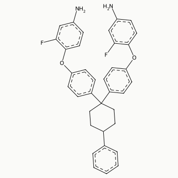 Nc1ccc(Oc2ccc(C3(c4ccc(Oc5ccc(N)cc5F)cc4)CCC(c4ccccc4)CC3)cc2)c(F)c1